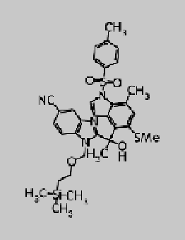 CSc1cc(C)c2c(ccn2S(=O)(=O)c2ccc(C)cc2)c1C(C)(O)c1nc2cc(C#N)ccc2n1COCC[Si](C)(C)C